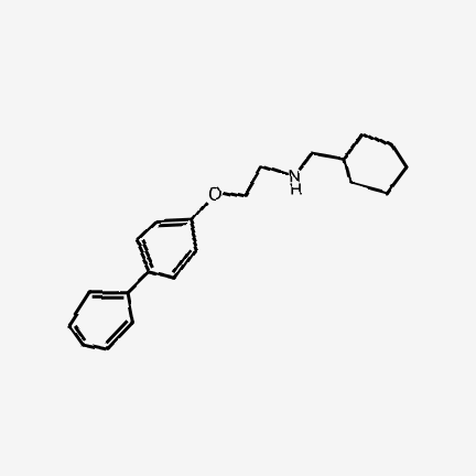 c1ccc(-c2ccc(OCCNCC3CCCCC3)cc2)cc1